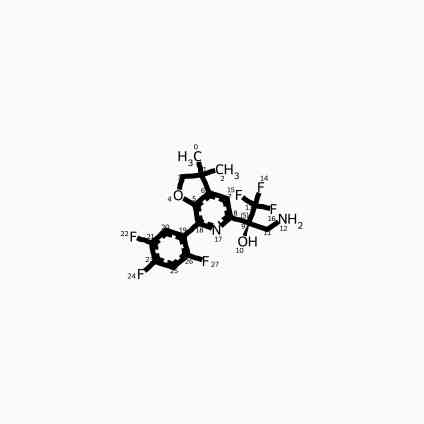 CC1(C)COc2c1cc([C@@](O)(CN)C(F)(F)F)nc2-c1cc(F)c(F)cc1F